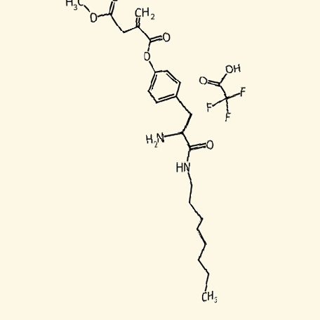 C=C(CC(=O)OC)C(=O)Oc1ccc(CC(N)C(=O)NCCCCCCCC)cc1.O=C(O)C(F)(F)F